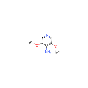 CCCOc1cncc(OCCC)c1N